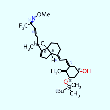 C=C1/C(=C\C=C2/CCC[C@]3(C)C([C@H](C)C/C=C/C(=N\OC)C(F)(F)F)=CC[C@@H]23)C[C@@H](O)C[C@@H]1O[Si](C)(C)C(C)(C)C